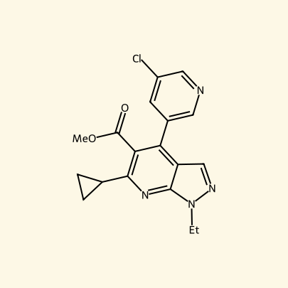 CCn1ncc2c(-c3cncc(Cl)c3)c(C(=O)OC)c(C3CC3)nc21